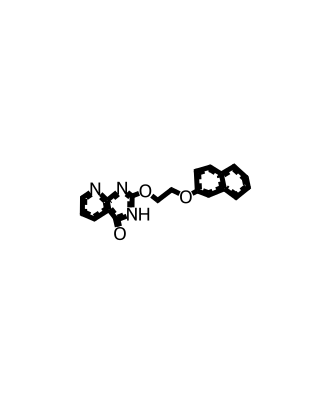 O=c1[nH]c(OCCOc2ccc3ccccc3c2)nc2ncccc12